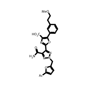 COCCc1cccc(-c2oc(-c3nn(Cc4ccc(C(C)=O)o4)nc3C(N)=O)nc2C(=O)O)c1